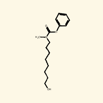 CN(CCCCCCCCO)C(=O)Oc1ccccc1